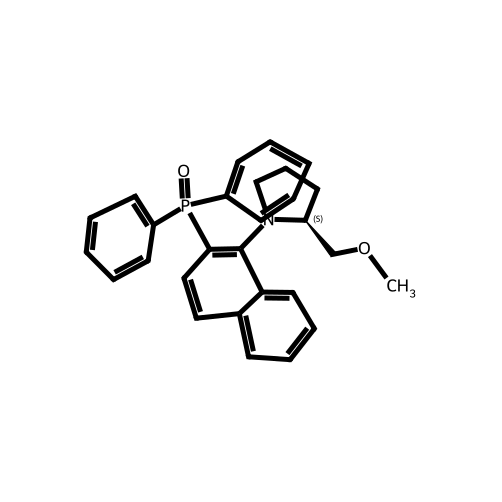 COC[C@@H]1CCCN1c1c(P(=O)(c2ccccc2)c2ccccc2)ccc2ccccc12